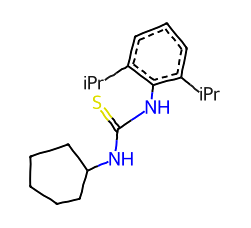 CC(C)c1cccc(C(C)C)c1NC(=S)NC1CCCCC1